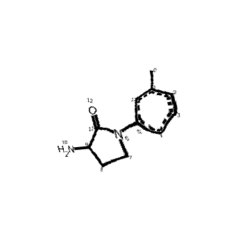 Cc1cccc(N2CCC(N)C2=O)c1